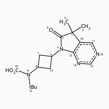 CC1(C)C(=O)N(C2CC(N(C(=O)O)C(C)(C)C)C2)c2ncncc21